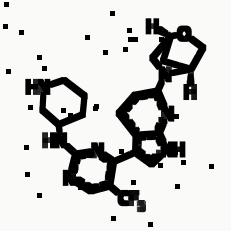 FC(F)(F)c1cnc(NC2CCCNC2)nc1-c1c[nH]c2nc(N3C[C@H]4C[C@@H]3CO4)ccc12